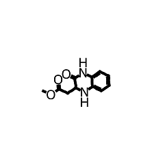 COC(=O)CC1Nc2ccccc2NC1=O